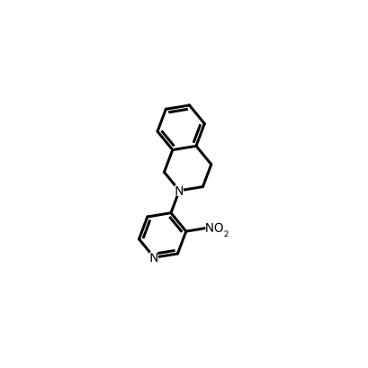 O=[N+]([O-])c1cnccc1N1CCc2ccccc2C1